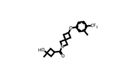 Cc1cc(OC2CC3(C2)CN(C(=O)C2CC(C)(O)C2)C3)ccc1C(F)(F)F